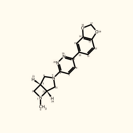 CN1C[C@@H]2CN(c3ccc(-c4ccc5c(c4)OCO5)nn3)C[C@@H]21